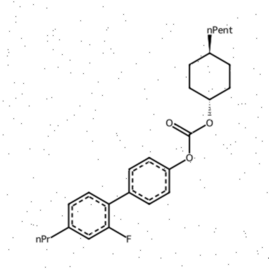 CCCCC[C@H]1CC[C@H](OC(=O)Oc2ccc(-c3ccc(CCC)cc3F)cc2)CC1